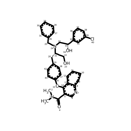 CN(C)C(=O)c1cnc2ccccc2c1Oc1ccc(C[C@@H](CO)N(Cc2ccccc2)C[C@@H](O)c2cccc(Cl)c2)cc1